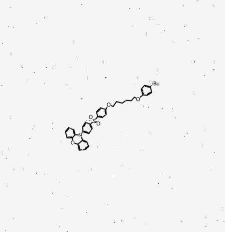 CC[C@@H](C)c1ccc(OCCCCCCOc2ccc(S(=O)(=O)c3ccc(N4c5ccccc5Oc5ccccc54)cc3)cc2)cc1